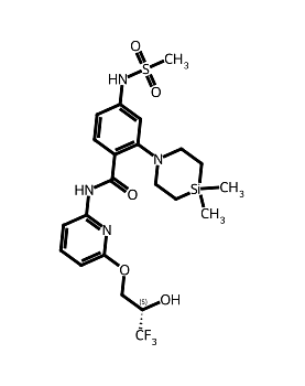 C[Si]1(C)CCN(c2cc(NS(C)(=O)=O)ccc2C(=O)Nc2cccc(OC[C@H](O)C(F)(F)F)n2)CC1